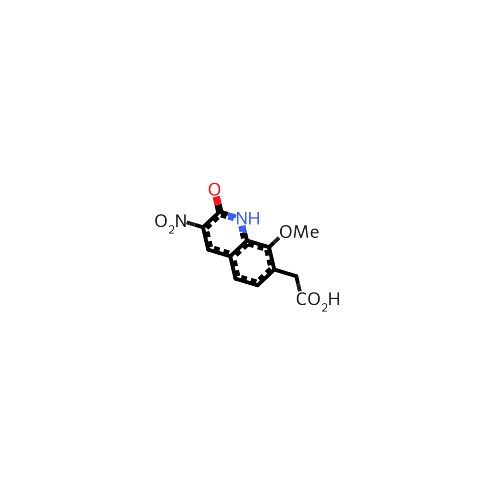 COc1c(CC(=O)O)ccc2cc([N+](=O)[O-])c(=O)[nH]c12